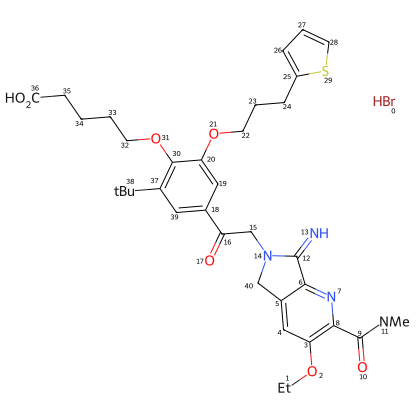 Br.CCOc1cc2c(nc1C(=O)NC)C(=N)N(CC(=O)c1cc(OCCCc3cccs3)c(OCCCCC(=O)O)c(C(C)(C)C)c1)C2